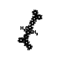 Cc1cc(-c2ccc(-c3ccc4c(c3)c3ccccc3n4-c3ccccc3)cc2)ccc1-c1ccc(-c2ccc(N(c3ccccc3)c3ccc(-c4ccccc4)cc3)cc2)cc1C